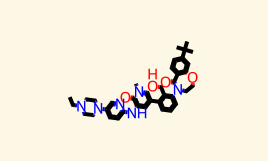 CCN1CCN(c2ccc(Nc3cc(-c4cccc(N5CCOc6cc(C(C)(C)C)ccc6C5=O)c4CO)cn(C)c3=O)nc2)CC1